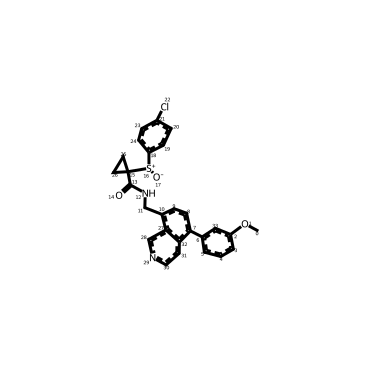 COc1cccc(-c2ccc(CNC(=O)C3([S+]([O-])c4ccc(Cl)cc4)CC3)c3cnccc23)c1